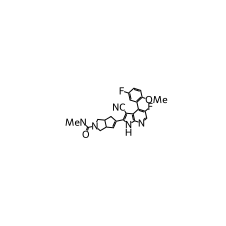 CNC(=O)N1CC2C=C(c3[nH]c4ncc(F)c(-c5cc(F)ccc5OC)c4c3C#N)CC2C1